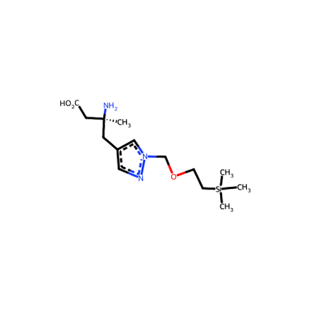 C[C@@](N)(CC(=O)O)Cc1cnn(COCC[Si](C)(C)C)c1